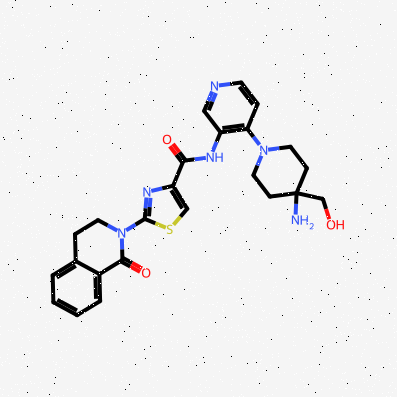 NC1(CO)CCN(c2ccncc2NC(=O)c2csc(N3CCc4ccccc4C3=O)n2)CC1